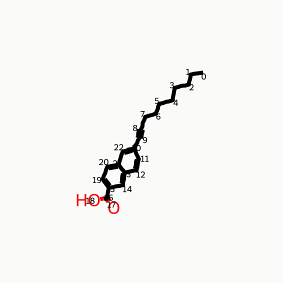 CCCCCCCCC#Cc1ccc2cc(C(=O)O)ccc2c1